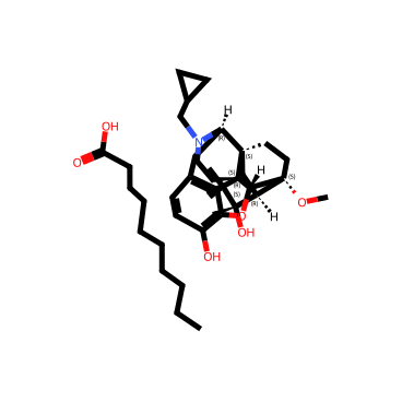 CCCCCCCCCC(=O)O.CO[C@@]12CC[C@@]3(C[C@@H]1[C@](C)(O)C(C)(C)C)[C@H]1Cc4ccc(O)c5c4[C@@]3(CCN1CC1CC1)[C@H]2O5